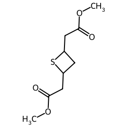 COC(=O)CC1CC(CC(=O)OC)S1